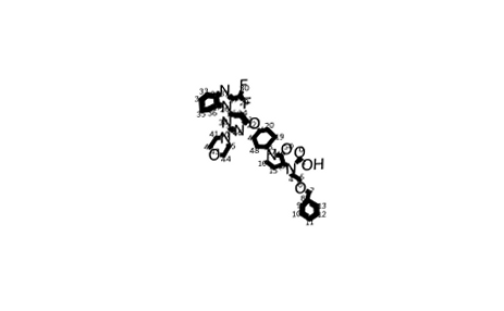 O=C(O)N(CCOCc1ccccc1)[C@H]1CCN([C@H]2CC[C@H](Oc3cc(-n4c(C(F)F)nc5ccccc54)nc(N4CCOCC4)n3)CC2)C1=O